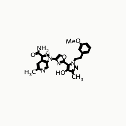 COc1cccc(CCn2nc(C)c(O)c2-c2nc(-n3nc(C(N)=O)c4cc(C)ncc43)co2)c1